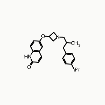 CC(Cc1ccc(C(C)C)cc1)CN1CC(Oc2ccc3[nH]c(=O)ccc3c2)C1